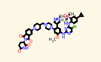 COc1cc(N2CCN(CC3CCN(c4ccc5c(c4)C(=O)N(C4CCC(=O)NC4=O)C5=O)CC3)CC2)c(-c2cnn(C)c2)cc1Nc1ncc(Br)c(Nc2ccc(C3CC3)cc2P(C)(C)=O)n1